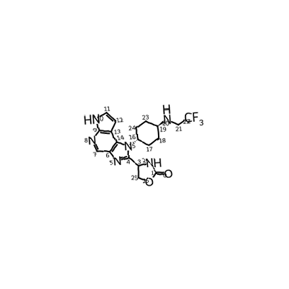 O=C1NC(c2nc3cnc4[nH]ccc4c3n2[C@H]2CC[C@H](NCC(F)(F)F)CC2)CO1